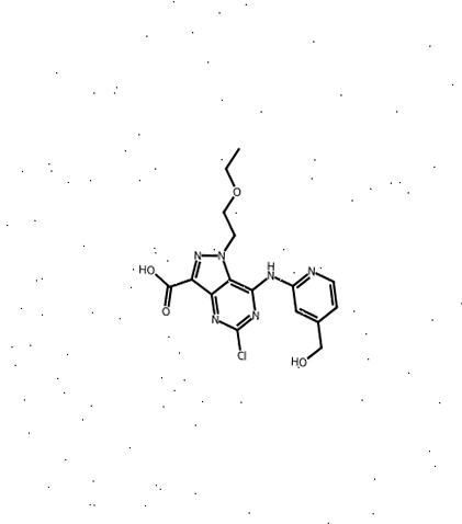 CCOCCn1nc(C(=O)O)c2nc(Cl)nc(Nc3cc(CO)ccn3)c21